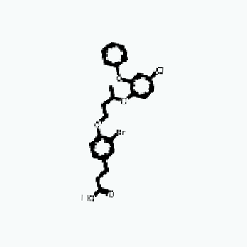 CC(CCOc1ccc(CCC(=O)O)cc1Br)Oc1ccc(Cl)cc1Oc1ccccc1